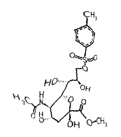 COC(=O)[C@]1(O)C[C@H](O)[C@@H](NC(C)=O)[C@H]([C@H](O)[C@H](O)COS(=O)(=O)c2ccc(C)cc2)O1